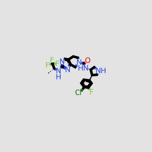 C[C@@H](Nc1ncc2c(n1)CN(C(=O)N[C@@H]1CNC[C@H]1c1ccc(Cl)c(F)c1)CC2)C(F)(F)F